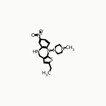 CCc1cc2c(s1)N(N1CCN(C)CC1)c1ccc([N+](=O)[O-])cc1NC2